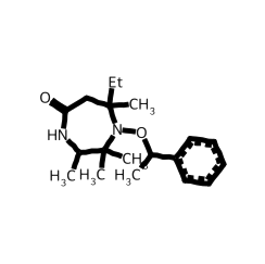 CCC1(C)CC(=O)NC(C)C(C)(C)N1OC(C)c1ccccc1